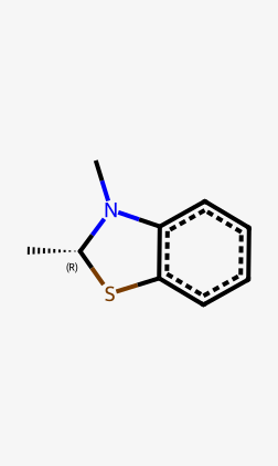 C[C@H]1Sc2ccccc2N1C